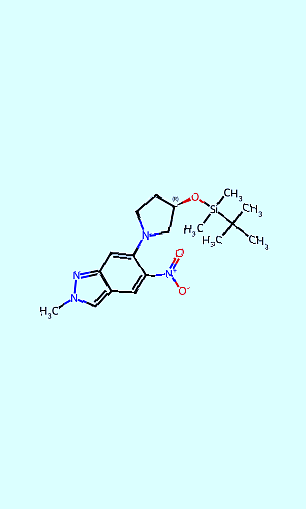 Cn1cc2cc([N+](=O)[O-])c(N3CC[C@@H](O[Si](C)(C)C(C)(C)C)C3)cc2n1